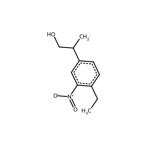 [CH2]C(CO)c1ccc(CC)c([N+](=O)[O-])c1